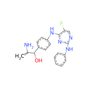 C=C(N)C(O)c1ccc(Nc2nc(Nc3ccccc3)ncc2F)cc1